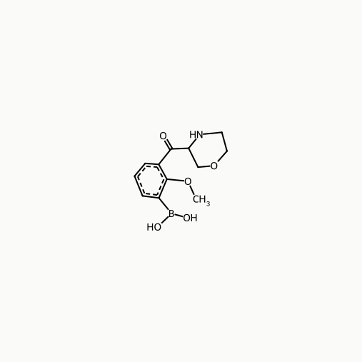 COc1c(B(O)O)cccc1C(=O)C1COCCN1